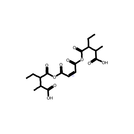 CCC(C(=O)OC(=O)/C=C\C(=O)OC(=O)C(CC)C(C)C(=O)O)C(C)C(=O)O